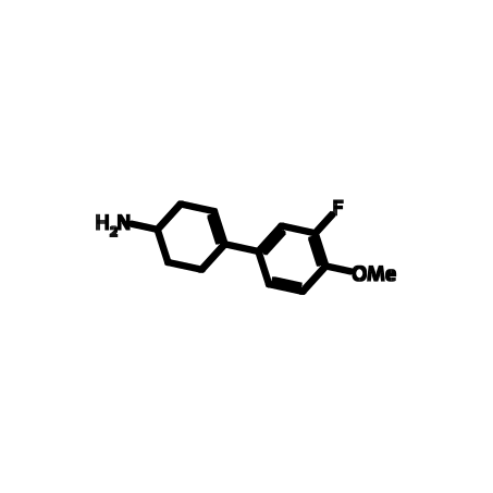 COc1ccc(C2=CCC(N)CC2)cc1F